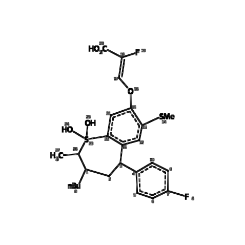 CCCCC1CC(c2ccc(F)cc2)c2cc(SC)c(OC=C(F)C(=O)O)cc2S(O)(O)C1C